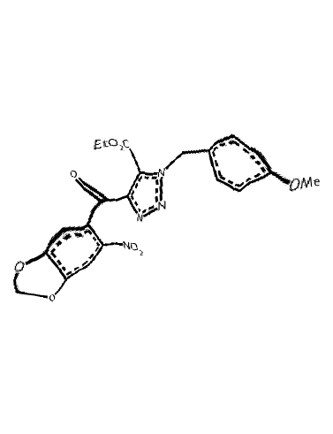 CCOC(=O)c1c(C(=O)c2cc3c(cc2[N+](=O)[O-])OCO3)nnn1Cc1ccc(OC)cc1